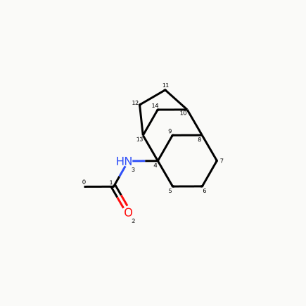 CC(=O)NC12CCCC(C1)C1CCC2C1